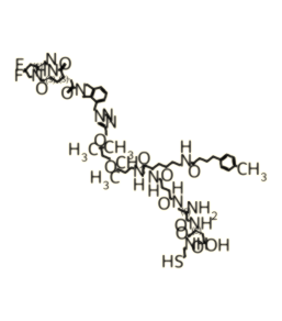 Cc1ccc(CCCC(=O)NCCCCC(NC(=O)CCC(=O)NC[C@H](N)C(=O)N[C@@H](CC(=O)O)C(=O)NCCS)C(=O)NCCC(C)(C)OCCC(C)(C)OCc2cn(Cc3cccc4c3CN(C(=O)C[C@@H]3C[C@@H](C(=O)N5CC(F)(F)C[C@H]5C#N)NC3=O)C4)nn2)cc1